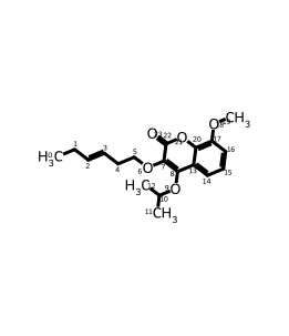 CC/C=C/CCOc1c(OC(C)C)c2cccc(OC)c2oc1=O